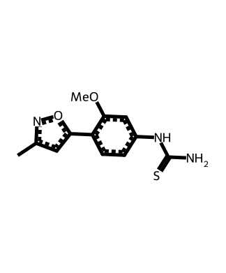 COc1cc(NC(N)=S)ccc1-c1cc(C)no1